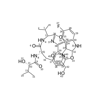 CC(C)C1NC(=O)[C@@H](NC(=O)[C@@H](O)C(C)C)Cc2ccc3c(c2)C2(c4cc(F)ccc4NC2O3)c2oc1nc2-c1nc(CO)co1